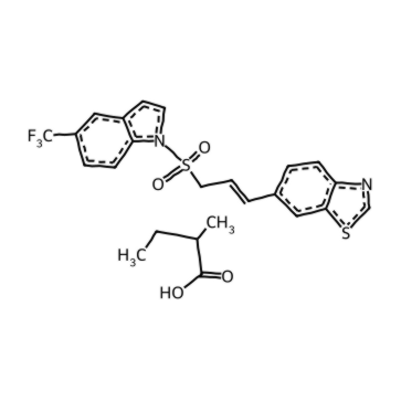 CCC(C)C(=O)O.O=S(=O)(CC=Cc1ccc2ncsc2c1)n1ccc2cc(C(F)(F)F)ccc21